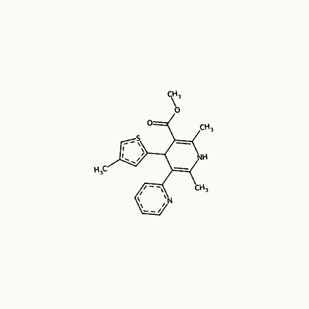 COC(=O)C1=C(C)NC(C)=C(c2ccccn2)C1c1cc(C)cs1